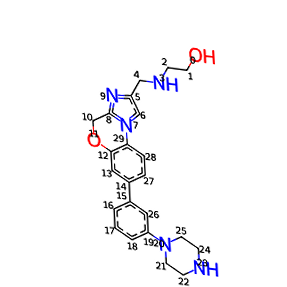 OCCNCc1cn2c(n1)COc1cc(-c3cccc(N4CCNCC4)c3)ccc1-2